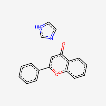 O=c1cc(-c2ccccc2)oc2ccccc12.c1c[nH]cn1